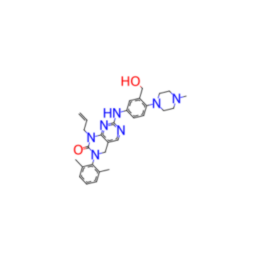 C=CCN1C(=O)N(c2c(C)cccc2C)Cc2cnc(Nc3ccc(N4CCN(C)CC4)c(CO)c3)nc21